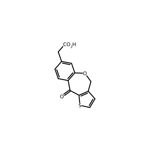 O=C(O)Cc1ccc2c(c1)OCc1ccsc1C2=O